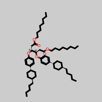 CCCCCCCCOC(=O)C[C@@H](Oc1ccc([C@H]2CC[C@H](CCCCC)CC2)cc1)[C@@H](CC(=O)OCCCCCCCC)Oc1ccc([C@H]2CC[C@H](CCCCC)CC2)cc1